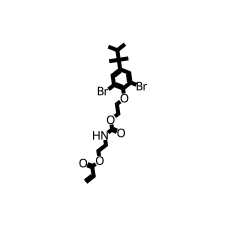 C=CC(=O)OCCNC(=O)OCCOc1c(Br)cc(C(C)(C)C(C)C)cc1Br